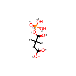 CC(C)(CC(=O)O)C(=O)OP(=O)(O)O